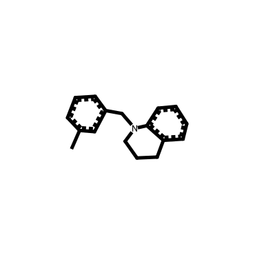 Cc1cccc(CN2CCCc3ccccc32)c1